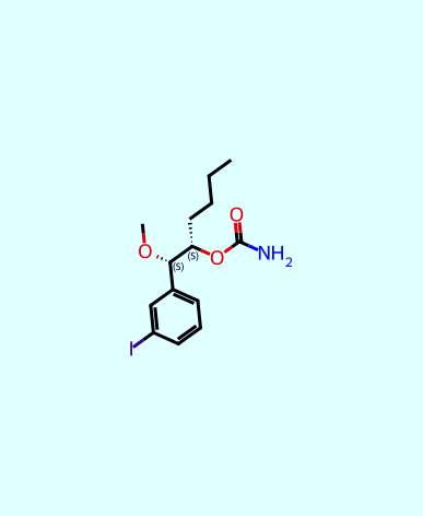 CCCC[C@H](OC(N)=O)[C@@H](OC)c1cccc(I)c1